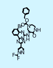 O=C1NCCN(C(=O)OCc2ccccc2)C[C@H]1Nc1nc2c(Br)cccc2c2nc(-c3cnn(C(F)F)c3)nn12